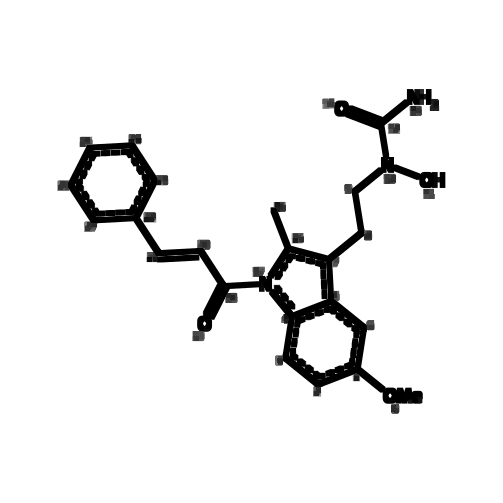 COc1ccc2c(c1)c(CCN(O)C(N)=O)c(C)n2C(=O)C=Cc1ccccc1